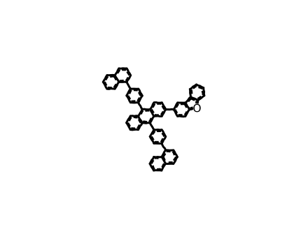 c1ccc2c(-c3ccc(-c4c5ccccc5c(-c5ccc(-c6cccc7ccccc67)cc5)c5cc(-c6ccc7oc8ccccc8c7c6)ccc45)cc3)cccc2c1